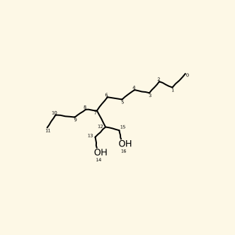 CCCCCCCC(CCCC)C(CO)CO